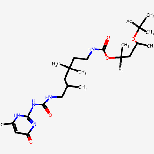 CCC(C)(CC(C)OC(C)(C)C(C)=O)OC(=O)NCCC(C)(C)CC(C)CNC(=O)Nc1nc(=O)cc(C)[nH]1